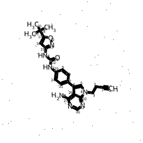 C#CCCn1cc(-c2ccc(NC(=O)Nc3cc(C(C)(C)C)on3)cc2)c2c(N)ncnc21